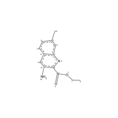 CCOC(=O)c1nc2cc(C)ccc2cc1N